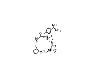 C[C@@H]1CN[C@@H](C2CC2)C(=O)N(C)[C@H](C)C(=O)N[C@H](Cc2ccc(C(=N)N)cc2)C(=O)NCCCc2ccccc2O1